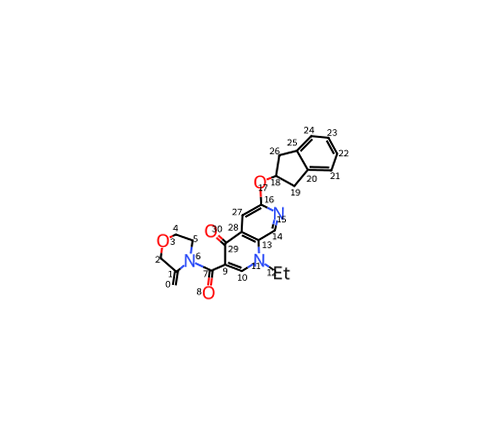 C=C1COCCN1C(=O)c1cn(CC)c2cnc(OC3Cc4ccccc4C3)cc2c1=O